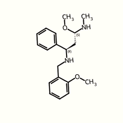 CN[C@H](C[C@@H](NCc1ccccc1OC)c1ccccc1)OC